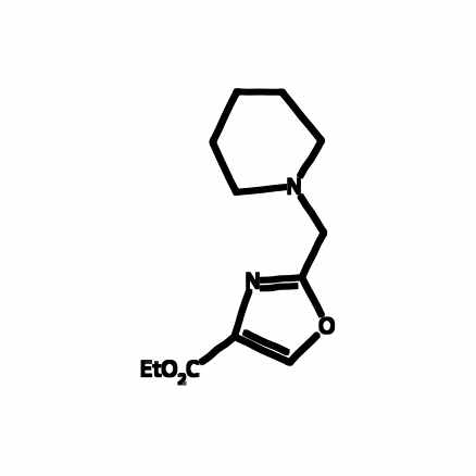 CCOC(=O)c1coc(CN2CCCCC2)n1